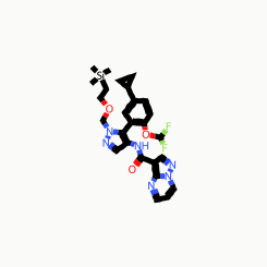 C[Si](C)(C)CCOCn1ncc(NC(=O)c2cnn3cccnc23)c1-c1cc(C2CC2)ccc1OC(F)F